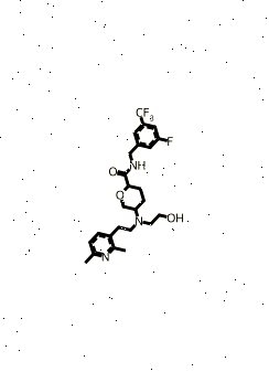 Cc1ccc(CCN(CCO)C2CCC(C(=O)NCc3cc(F)cc(C(F)(F)F)c3)OC2)c(C)n1